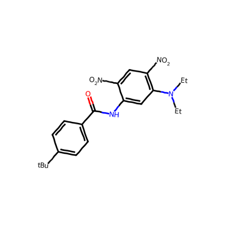 CCN(CC)c1cc(NC(=O)c2ccc(C(C)(C)C)cc2)c([N+](=O)[O-])cc1[N+](=O)[O-]